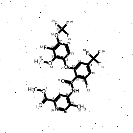 COC(=O)c1cc(NC(=O)c2c(F)cc(C(F)(F)F)cc2Oc2ccc(OC(F)(F)F)c(F)c2OC)c(C)cn1